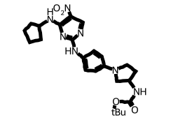 CC(C)(C)OC(=O)NC1CCN(c2ccc(Nc3ncc([N+](=O)[O-])c(NC4CCCC4)n3)cc2)C1